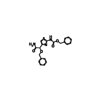 NC(=O)C(OCc1ccccc1)c1csc(NC(=O)OCc2ccccc2)n1